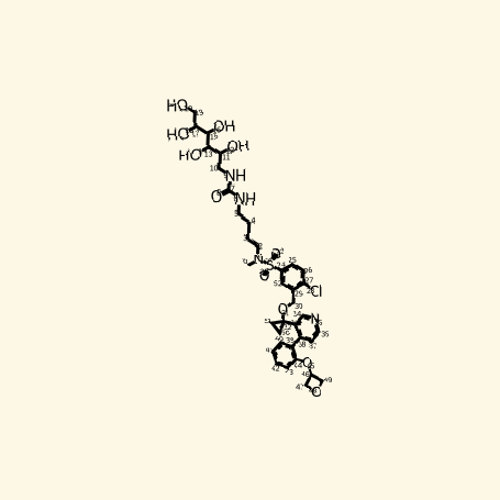 CN(CCCCNC(=O)NCC(O)C(O)C(O)C(O)CO)S(=O)(=O)c1ccc(Cl)c(COC2(c3cnccc3-c3ccccc3OC3COC3)CC2)c1